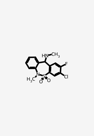 CNC1c2ccccc2N(C)S(=O)(=O)c2cc(Cl)c(F)cc21